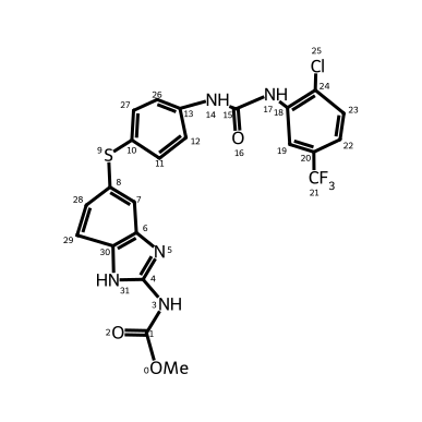 COC(=O)Nc1nc2cc(Sc3ccc(NC(=O)Nc4cc(C(F)(F)F)ccc4Cl)cc3)ccc2[nH]1